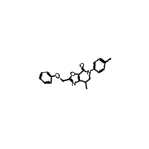 Cc1ccc(N2CC(C)c3nc(COc4ccccc4)oc3C2=O)cc1